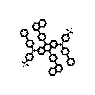 CS(C)(C)c1ccc(N(c2ccc(-c3ccccc3)cc2)c2ccc3c(-c4ccc(-c5cccc6ccccc56)cc4)c4cc(N(c5ccc(-c6ccccc6)cc5)c5ccc(S(C)(C)C)cc5)ccc4c(-c4ccc(-c5cccc6ccccc56)cc4)c3c2)cc1